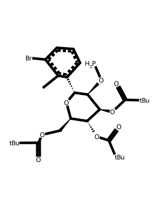 Cc1c(Br)cccc1[C@H]1O[C@H](COC(=O)C(C)(C)C)[C@@H](OC(=O)C(C)(C)C)[C@H](OC(=O)C(C)(C)C)[C@@H]1OP